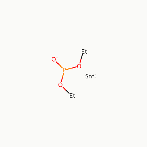 CCOP([O-])OCC.[Sn+]